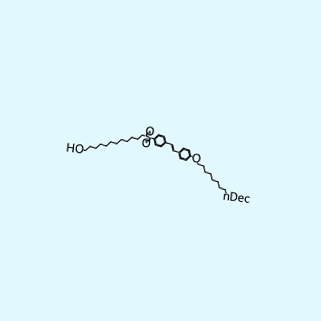 CCCCCCCCCCCCCCCCCCOc1ccc(C=Cc2ccc(S(=O)(=O)CCCCCCCCCCCCO)cc2)cc1